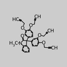 C#CCOc1ccc(C2(c3ccc(OCC#C)c(OCC#C)c3)C(=O)N(C)c3ccccc32)cc1OCC#C